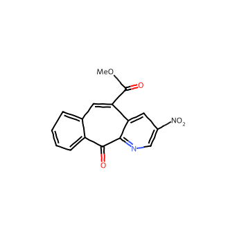 COC(=O)c1cc2ccccc2c(=O)c2ncc([N+](=O)[O-])cc12